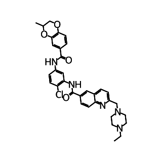 CCN1CCN(Cc2ccc3cc(C(=O)Nc4cc(NC(=O)c5ccc6c(c5)OC(C)CO6)ccc4Cl)ccc3n2)CC1